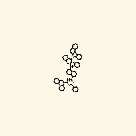 c1ccc(-c2nc(-c3cccc4c(-n5c6ccccc6c6c(-n7c8ccccc8c8c9ccccc9ccc87)c7ccccc7cc65)cccc34)nc(-c3cc4ccccc4c4ccccc34)n2)cc1